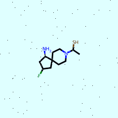 CC(S)N1CCC2(CC1)CC(F)C[C@H]2N